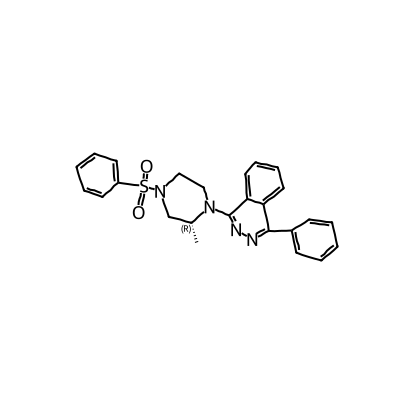 C[C@@H]1CN(S(=O)(=O)c2ccccc2)CCN1c1nnc(-c2ccccc2)c2ccccc12